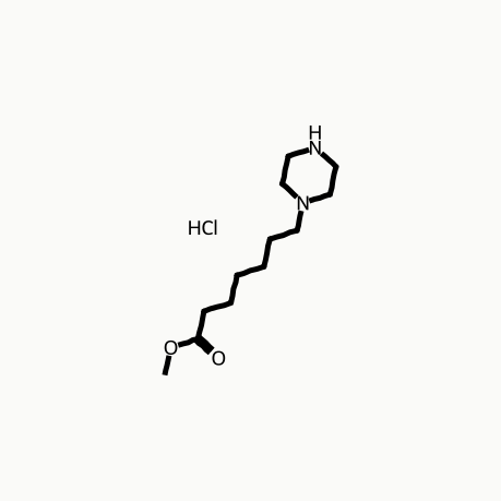 COC(=O)CCCCCCN1CCNCC1.Cl